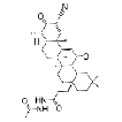 CC(=O)NNC(=O)CC[C@]12CCC(C)(C)CC1C1C(=O)C=C3[C@@]4(C)C=C(C#N)C(=O)[C@@H](C)[C@@H]4CC[C@@]3(C)[C@]1(C)CC2